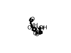 O=C(NCC1CCOC1)c1ccc2c(c1)NC(O)c1cccn1S2(=O)=O